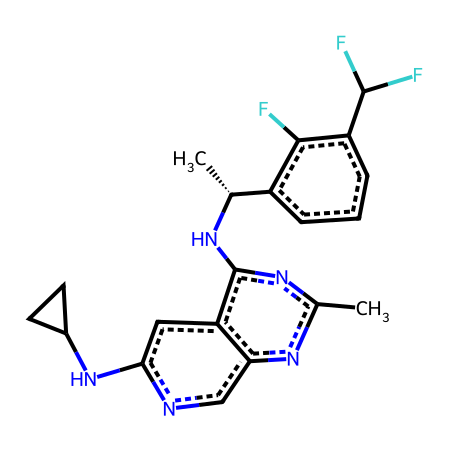 Cc1nc(N[C@H](C)c2cccc(C(F)F)c2F)c2cc(NC3CC3)ncc2n1